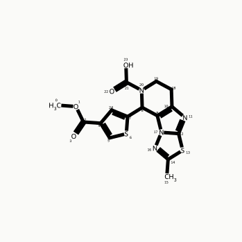 COC(=O)c1csc(C2c3c(nc4sc(C)nn34)CCN2C(=O)O)c1